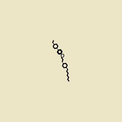 CCCCCCC[C@H]1CC[C@H](CCCOc2ccc([C@H]3CC[C@H](CC)CC3)cc2)CC1